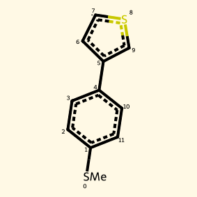 CSc1ccc(-c2c[c]sc2)cc1